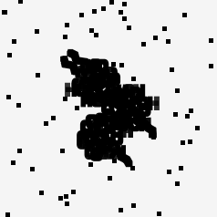 CCCCOC(=O)c1c(C(=O)O)c(C(=O)O)c(C(=O)O)c(C(=O)O)c1C(=O)O.CCCCOC(=O)c1c(C(=O)O)c(C(=O)O)c(C(=O)O)c(C(=O)O)c1C(=O)O.CCCCOC(=O)c1c(C(=O)O)c(C(=O)O)c(C(=O)O)c(C(=O)O)c1C(=O)OCCCC